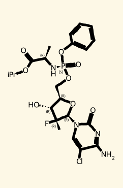 CC(C)OC(=O)[C@@H](C)N[P@](=O)(OC[C@H]1O[C@@H](n2cc(Cl)c(N)nc2=O)[C@](C)(F)[C@@H]1O)Oc1ccccc1